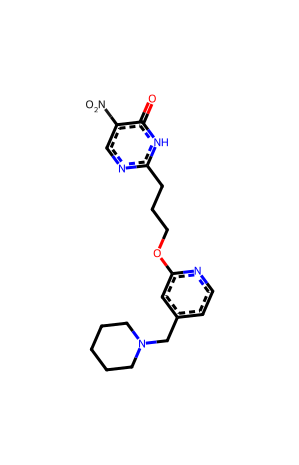 O=c1[nH]c(CCCOc2cc(CN3CCCCC3)ccn2)ncc1[N+](=O)[O-]